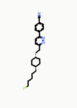 N#Cc1ccc(-c2ccc(CC[C@H]3CC[C@H](CCCCCF)CC3)nn2)cc1